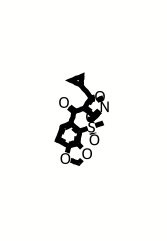 CS(=O)(=O)c1c(C(=O)c2cnoc2C2CC2)ccc2c1OCO2